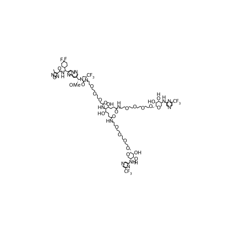 COC[C@H](c1cnn2cc([C@@H](NC(=O)c3nonc3C)C3CCC(F)(F)CC3)nc2c1)N1C[C@@H](C(F)(F)F)N(CCOCCOCCOCC(=O)NC(C(O)CCC(=O)NCCOCCOCCOCCOC[C@H]2OC[C@H](Nc3cncc(C(F)(F)F)n3)[C@@H](O)[C@H]2O)C(O)CCC(=O)NCCOCCOCCOCCOC[C@H]2OC[C@H](Nc3cncc(C(F)(F)F)n3)[C@@H](O)[C@H]2O)C1=O